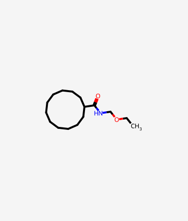 CCOCNC(=O)C1CCCCCCCCCCC1